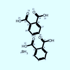 B.O=C(O)c1ccccc1C(=O)O.O=C(O)c1ccccc1C(=O)O